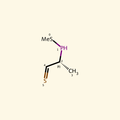 CSP[C@H](C)C=S